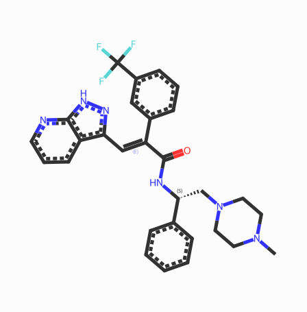 CN1CCN(C[C@@H](NC(=O)/C(=C/c2n[nH]c3ncccc23)c2cccc(C(F)(F)F)c2)c2ccccc2)CC1